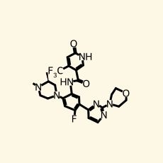 C[C@H]1CN(c2cc(F)c(-c3ccnc(N4CCOCC4)n3)cc2NC(=O)c2c[nH]c(=O)cc2C(F)(F)F)CCN1C